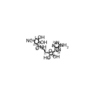 N#Cc1cc(O)c(O)c(C(=O)NCC=CC2OC(n3cnc4c(N)ncnc43)[C@H](O)C2O)c1